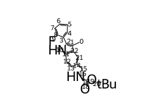 Cc1c(-c2ccccc2F)[nH]c2ccc(CNC(=O)OC(C)(C)C)cc12